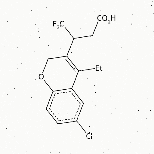 CCC1=C(C(CC(=O)O)C(F)(F)F)COc2ccc(Cl)cc21